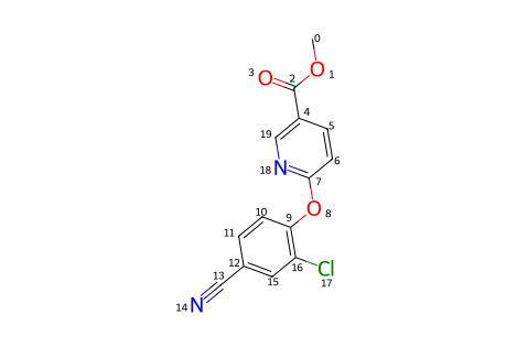 COC(=O)c1ccc(Oc2ccc(C#N)cc2Cl)nc1